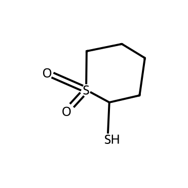 O=S1(=O)CCCCC1S